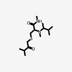 CNC(=O)C(CSCC(=O)C(C)C)N(C)C(C)C(C)C